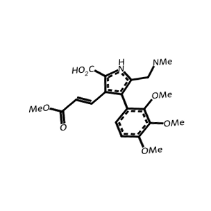 CNCc1[nH]c(C(=O)O)c(C=CC(=O)OC)c1-c1ccc(OC)c(OC)c1OC